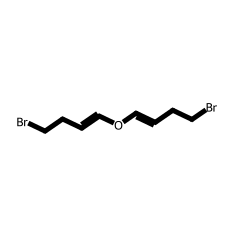 BrCCC=COC=CCCBr